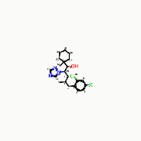 CC(Cc1ccc(Cl)cc1Cl)CC(C(O)C1(C)CCCCC1)n1cncn1